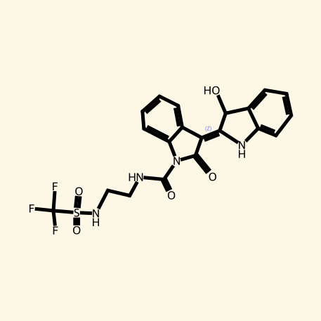 O=C(NCCNS(=O)(=O)C(F)(F)F)N1C(=O)/C(=C2\Nc3ccccc3C2O)c2ccccc21